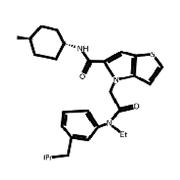 CCN(C(=O)Cn1c(C(=O)N[C@H]2CC[C@H](C)CC2)cc2sccc21)c1cccc(CC(C)C)c1